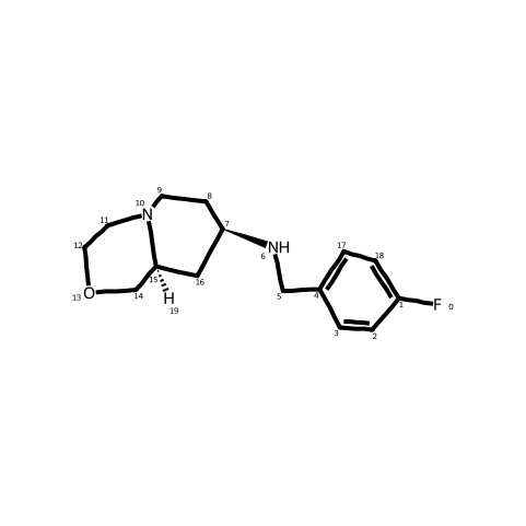 Fc1ccc(CN[C@@H]2CCN3CCOC[C@@H]3C2)cc1